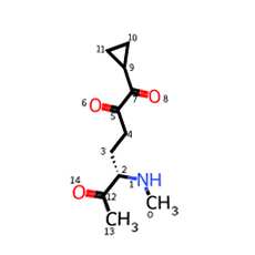 CN[C@@H](CCC(=O)C(=O)C1CC1)C(C)=O